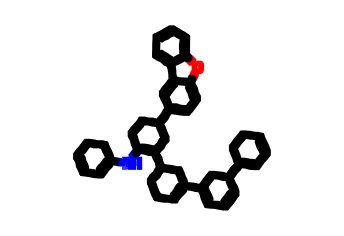 C1=CCCC(NC2=C(C3CCC=C(C4=CC=CC(C5=CC=CCC5)C4)C3)CC(c3ccc4oc5ccccc5c4c3)CC2)=C1